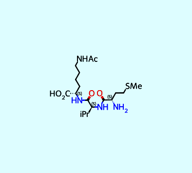 CSCC[C@H](N)C(=O)N[C@H](C(=O)N[C@@H](CCCCNC(C)=O)C(=O)O)C(C)C